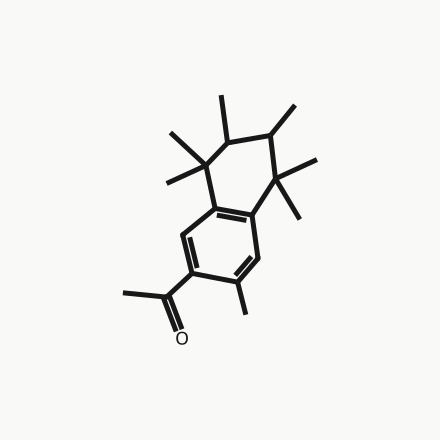 CC(=O)c1cc2c(cc1C)C(C)(C)C(C)C(C)C2(C)C